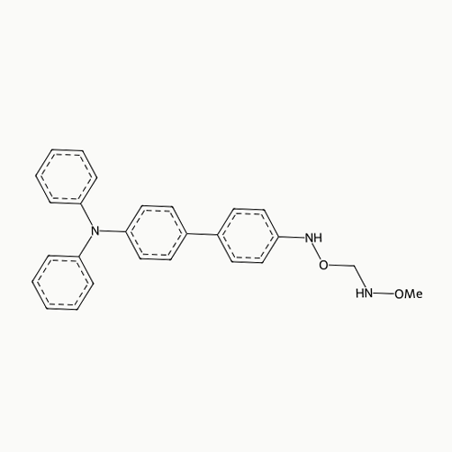 CONCONc1ccc(-c2ccc(N(c3ccccc3)c3ccccc3)cc2)cc1